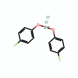 Fc1ccc([O][Zr+2][O]c2ccc(F)cc2)cc1.[Cl-].[Cl-]